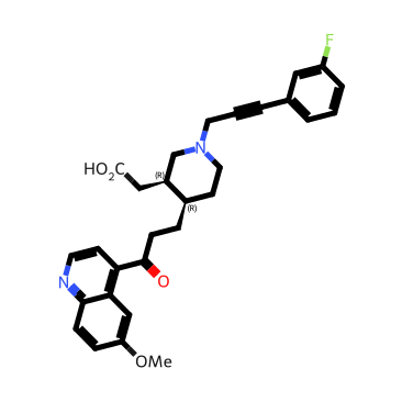 COc1ccc2nccc(C(=O)CC[C@@H]3CCN(CC#Cc4cccc(F)c4)C[C@@H]3CC(=O)O)c2c1